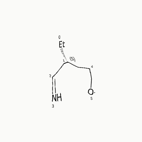 CC[C@@H](C=N)C[O]